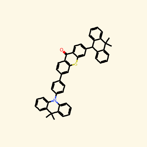 CC1(C)c2ccccc2C(c2ccc3c(=O)c4ccc(-c5ccc(N6c7ccccc7C(C)(C)c7ccccc76)cc5)cc4sc3c2)c2ccccc21